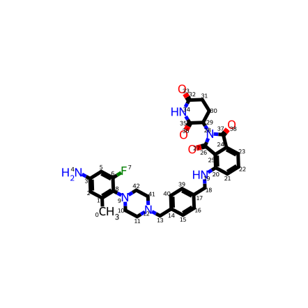 Cc1cc(N)cc(F)c1N1CCN(Cc2ccc(CNc3cccc4c3C(=O)N(C3CCC(=O)NC3=O)C4=O)cc2)CC1